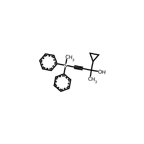 CC(O)(C#CS(C)(c1ccccc1)c1ccccc1)C1CC1